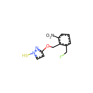 O=[N+]([O-])c1cccc(CF)c1COc1ccn(S)n1